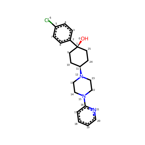 O[C@]1(c2ccc(Cl)cc2)CC[C@H](N2CCN(c3ccccn3)CC2)CC1